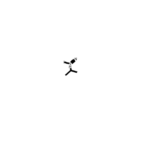 CC(C)[SH](#N)I